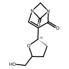 O=c1c([C@@H]2CCC(CO)O2)cn2c(=O)n1C2